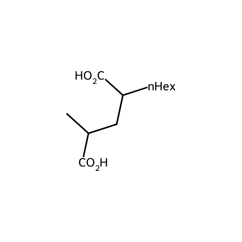 CCCCCCC(CC(C)C(=O)O)C(=O)O